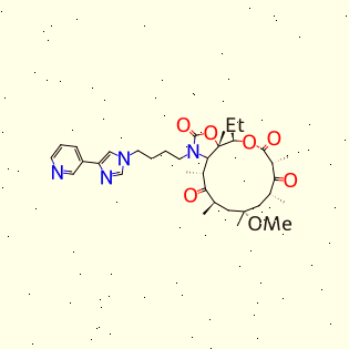 CC[C@H]1OC(=O)[C@H](C)C(=O)[C@H](C)C[C@](C)(OC)C[C@@H](C)C(=O)[C@H](C)C2N(CCCCn3cnc(-c4cccnc4)c3)C(=O)O[C@@]21C